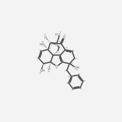 CN1CC[C@]23C4=C5O[C@H]2[C@@H](O)C=C[C@@]3(O)[C@H]1C(=O)C4=CCC5(O)Cc1ccccc1